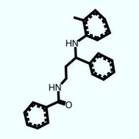 Cc1ccccc1NC(CCNC(=O)c1ccccc1)c1ccccc1